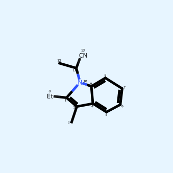 CCc1c(C)c2ccccc2n1C(C)C#N